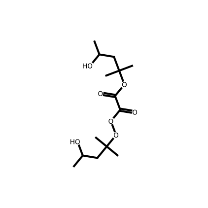 CC(O)CC(C)(C)OOC(=O)C(=O)OC(C)(C)CC(C)O